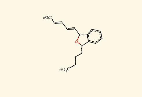 CCCCCCCC/C=C/C=C/C1OC(CCCC(=O)O)c2ccccc21